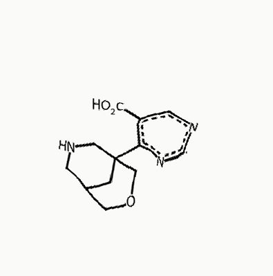 O=C(O)c1cn[c]nc1C12CNCC(COC1)C2